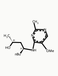 CCCC[C@@H](C[C@@H](C)O)Nc1nc(C)ncc1OC